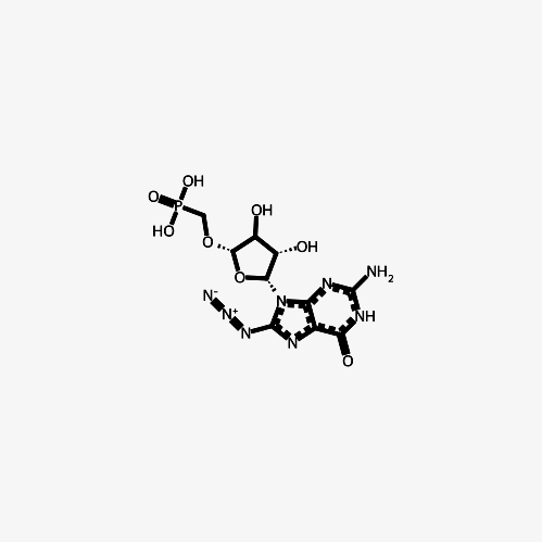 [N-]=[N+]=Nc1nc2c(=O)[nH]c(N)nc2n1[C@@H]1O[C@H](OCP(=O)(O)O)C(O)[C@@H]1O